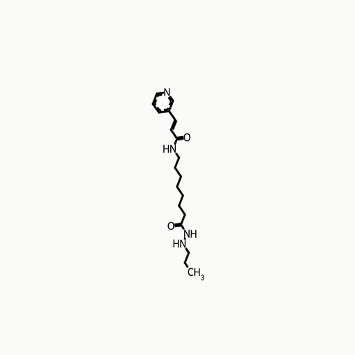 CCCNNC(=O)CCCCCCCNC(=O)C=Cc1cccnc1